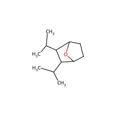 CC(C)C1C2CCC(O2)C1C(C)C